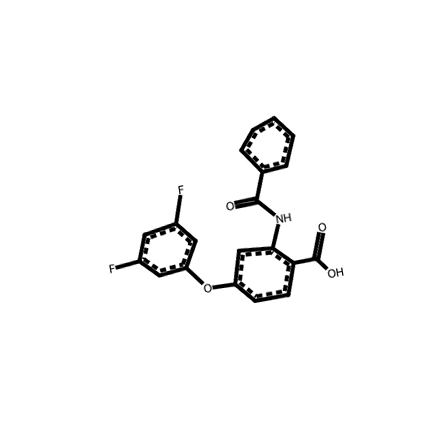 O=C(Nc1cc(Oc2cc(F)cc(F)c2)ccc1C(=O)O)c1ccccc1